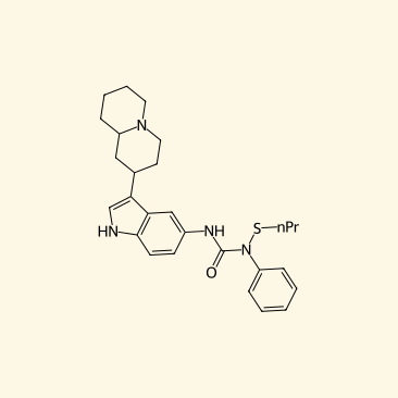 CCCSN(C(=O)Nc1ccc2[nH]cc(C3CCN4CCCCC4C3)c2c1)c1ccccc1